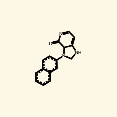 O=C1N=CC=C2NCN(c3ccc4ccccc4c3)C12